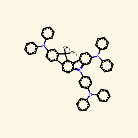 CC1(C)c2cc(N(c3ccccc3)c3ccccc3)ccc2-c2ccc3c(c21)c1ccc(N(c2ccccc2)c2ccccc2)cc1n3-c1ccc(N(c2ccccc2)c2ccccc2)cc1